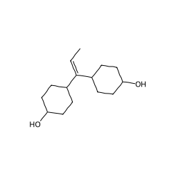 CC=C(C1CCC(O)CC1)C1CCC(O)CC1